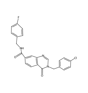 O=C(NCc1ccc(F)cc1)c1ccc2c(=O)n(Cc3ccc(Cl)cc3)cnc2c1